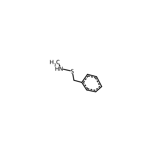 CNSCc1ccccc1